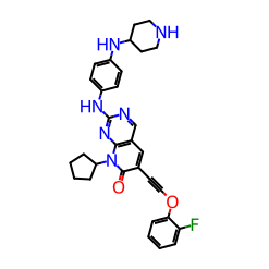 O=c1c(C#COc2ccccc2F)cc2cnc(Nc3ccc(NC4CCNCC4)cc3)nc2n1C1CCCC1